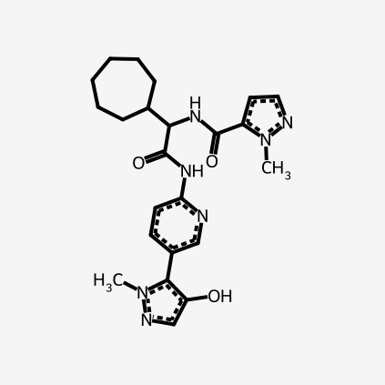 Cn1nccc1C(=O)NC(C(=O)Nc1ccc(-c2c(O)cnn2C)cn1)C1CCCCCC1